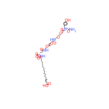 NC(=O)CN(CC(=O)COCCOCCNC(=O)COCCOCCNC(=O)CC[C@H](NC(=O)CCCCCCCCCCCCCCCCC(=O)O)C(=O)O)Cc1ccc(O)cc1